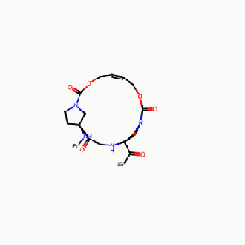 CC(C)N[C@@]12CCN(C1)C(=O)OCC=CCOC(=O)N1CC(C(=O)C(C)C)(C1)NCC2=O